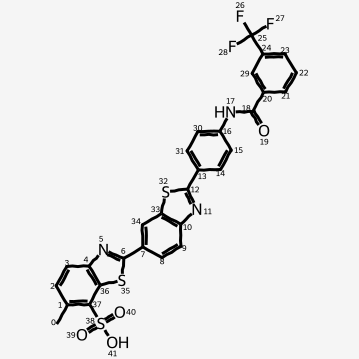 Cc1ccc2nc(-c3ccc4nc(-c5ccc(NC(=O)c6cccc(C(F)(F)F)c6)cc5)sc4c3)sc2c1S(=O)(=O)O